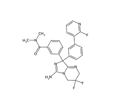 CN(C)C(=O)c1cccc(C2(c3cccc(-c4cccnc4F)c3)N=C(N)N3CC(F)(F)CN=C32)c1